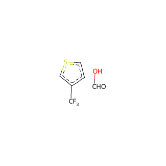 FC(F)(F)c1ccsc1.O=CO